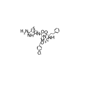 CN[C@H](CCc1ccccc1)C(=O)N1C[C@H](OCc2ccc(Cl)cc2)C[C@H]1C(=O)NCc1cc(C(=N)N)cs1